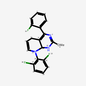 COC1=NC(c2ccccc2F)=C2CC=CN(c3c(F)cccc3F)C2N1